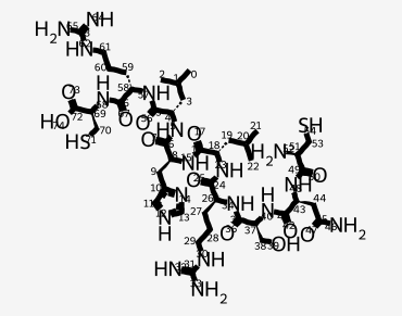 CC(C)C[C@H](NC(=O)[C@H](Cc1c[nH]cn1)NC(=O)[C@H](CC(C)C)NC(=O)[C@H](CCCNC(=N)N)NC(=O)[C@H](CO)NC(=O)[C@H](CC(N)=O)NC(=O)[C@@H](N)CS)C(=O)N[C@@H](CCCNC(=N)N)C(=O)N[C@@H](CS)C(=O)O